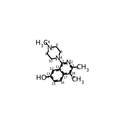 Cc1nc(N2CCN(C)CC2)c2cc(O)ccc2c1C